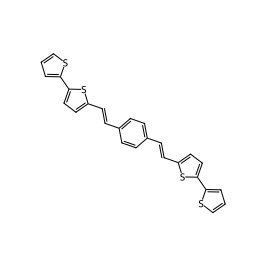 C(=C\c1ccc(-c2cccs2)s1)/c1ccc(/C=C/c2ccc(-c3cccs3)s2)cc1